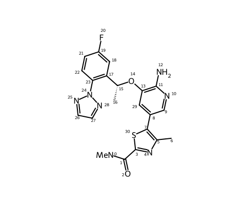 CNC(=O)c1nc(C)c(-c2cnc(N)c(O[C@H](C)c3cc(F)ccc3-n3nccn3)c2)s1